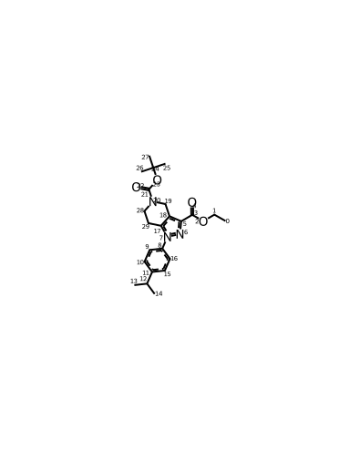 CCOC(=O)c1nn(-c2ccc(C(C)C)cc2)c2c1CN(C(=O)OC(C)(C)C)CC2